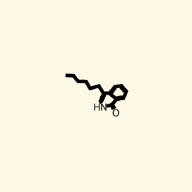 CCCCCCc1c[nH]c(=O)c2ccccc12